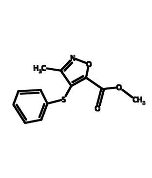 COC(=O)c1onc(C)c1Sc1ccccc1